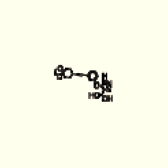 OC(O)c1nn[nH]c1Oc1cccc(C#CC2CCC3(CC2)OCCO3)c1